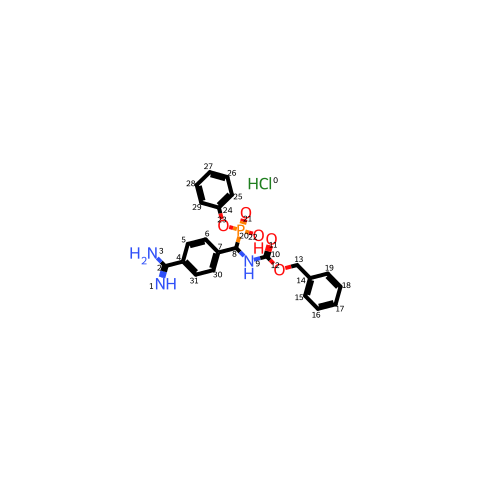 Cl.N=C(N)c1ccc(C(NC(=O)OCc2ccccc2)P(=O)(O)Oc2ccccc2)cc1